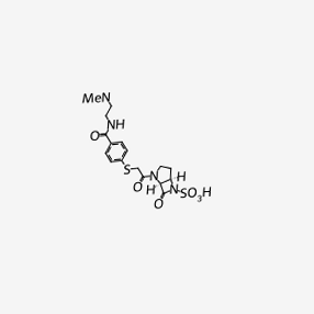 CNCCNC(=O)c1ccc(SCC(=O)N2CC[C@@H]3[C@H]2C(=O)N3S(=O)(=O)O)cc1